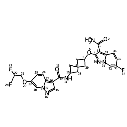 NC(=O)c1c(OC2CC3(CC(NC(=O)c4cnn5cc(OCC(F)F)ccc45)C3)C2)nn2cc(F)ccc12